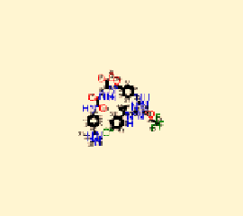 COC(=O)[C@H](CNC(=O)C(=O)Nc1ccc(-c2nncn2C)cc1)NC(=O)c1ccc(Nc2nc(NC3(c4ccc(Cl)cc4)CC3)nc(OCC(F)(F)F)n2)cc1